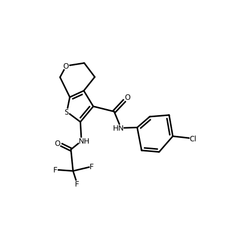 O=C(Nc1ccc(Cl)cc1)c1c(NC(=O)C(F)(F)F)sc2c1CCOC2